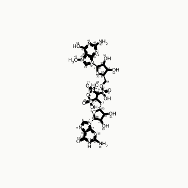 CCC(C[C@H]1O[C@@H](n2cnc3c(=O)[nH]c(N)nc32)C(O)C1O)P(=O)(O)OP(=O)(O)CP(=O)(O)OC[C@H]1O[C@@H](n2c[n+](C)c3c(O)nc(N)nc32)C(O)C1O